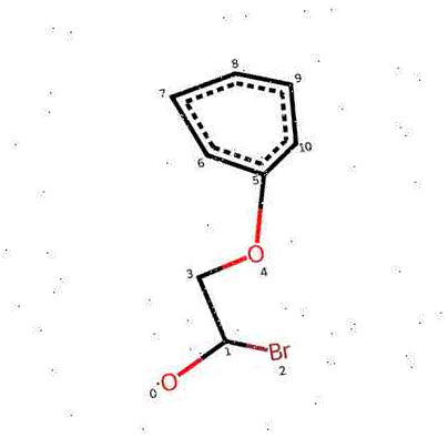 [O]C(Br)COc1ccccc1